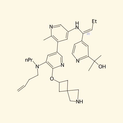 C=CCCN(CCC)c1cc(-c2cc(N/C(=C\CC)c3ccnc(C(C)(C)O)c3)cnc2C)cnc1OC1CC2(CNC2)C1